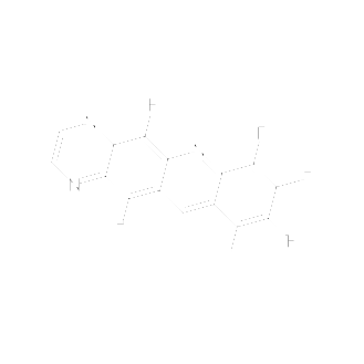 Fc1c(F)c(F)c2nc3c(F)c4nccnc4c(F)c3cc2c1F